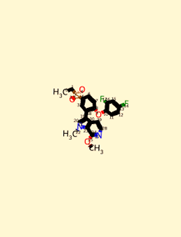 CCS(=O)(=O)c1ccc(Oc2ccc(F)cc2F)c(-c2cn(C)c3c(OC)nccc23)c1